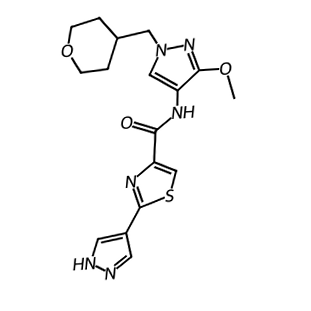 COc1nn(CC2CCOCC2)cc1NC(=O)c1csc(-c2cn[nH]c2)n1